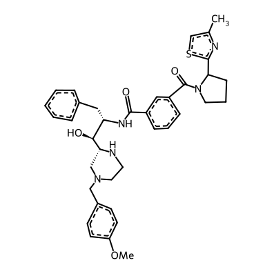 COc1ccc(CN2CCN[C@@H]([C@@H](O)[C@H](Cc3ccccc3)NC(=O)c3cccc(C(=O)N4CCCC4c4nc(C)cs4)c3)C2)cc1